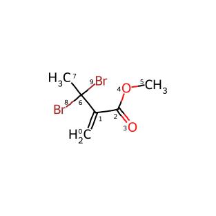 C=C(C(=O)OC)C(C)(Br)Br